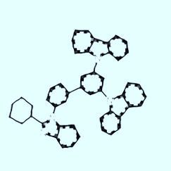 c1cc(-c2cc(-n3c4ccccc4c4ccccc43)cc(-n3c4ccccc4c4ccccc43)c2)cc(-n2c(C3CCCCC3)nc3ccccc32)c1